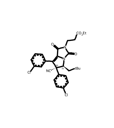 CCOC(=O)CCN1C(=O)C2=C(c3cccc(Cl)c3)[C@](C#N)(c3ccc(Cl)cc3)[C@H](CC(C)(C)C)N2C1=O